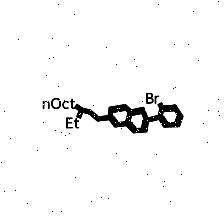 CCCCCCCCC(CC)CCc1ccc2cc(-c3ccccc3Br)ccc2c1